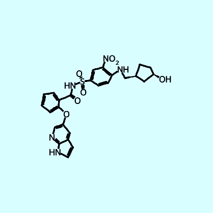 O=C(NS(=O)(=O)c1ccc(NC[C@H]2CC[C@@H](O)C2)c([N+](=O)[O-])c1)c1ccccc1Oc1cnc2[nH]ccc2c1